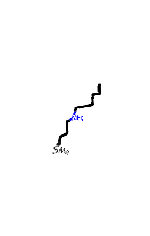 C=CCCCNCCCSC